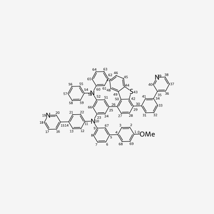 COc1ccc(-c2cccc(N(c3ccc(-c4cccnc4)cc3)c3cc(-c4ccc(-c5cccc(-c6cccnc6)c5)c5sc6ccccc6c45)cc(N(c4ccccc4)c4ccccc4)c3)c2)cc1